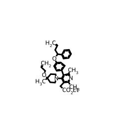 C=CCOC1(C)CCN(c2c(CC(=O)OCC)c(C)nc(C)c2-c2ccc(OC(CC=C)c3ccccc3)cc2)CC1